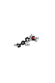 CN(c1ccc(-c2ccc(-c3cc[nH]n3)cc2O)nn1)[C@H]1C[C@@H]2COCC1(F)CN2